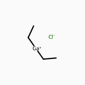 C[CH2][Ga+][CH2]C.[Cl-]